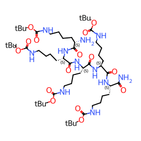 CC(C)(C)OC(=O)NCCCC[C@H](NC(=O)[C@H](CCCCNC(=O)OC(C)(C)C)NC(=O)[C@H](CCCCNC(=O)OC(C)(C)C)NC(=O)[C@H](CCCCNC(=O)OC(C)(C)C)NC(=O)[C@@H](N)CCCCNC(=O)OC(C)(C)C)C(N)=O